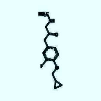 O=C(CNC(=O)O)Cc1ccc(OCC2CC2)c(F)c1